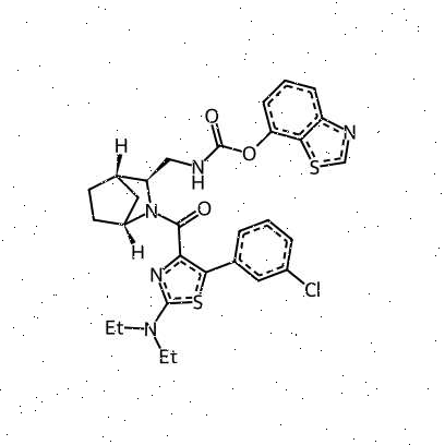 CCN(CC)c1nc(C(=O)N2[C@@H]3CC[C@@H](C3)[C@H]2CNC(=O)Oc2cccc3ncsc23)c(-c2cccc(Cl)c2)s1